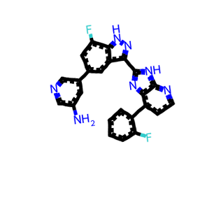 Nc1cncc(-c2cc(F)c3[nH]nc(-c4nc5c(-c6ccccc6F)ccnc5[nH]4)c3c2)c1